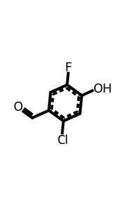 O=Cc1cc(F)c(O)cc1Cl